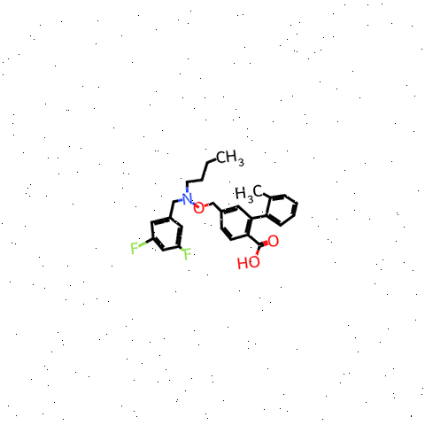 CCCCN(Cc1cc(F)cc(F)c1)OCc1ccc(C(=O)O)c(-c2ccccc2C)c1